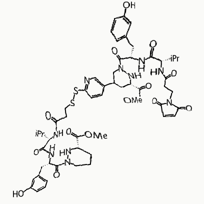 COC(=O)[C@@H]1CCCN(C(=O)[C@H](Cc2cccc(O)c2)NC(=O)[C@@H](NC(=O)CCSSc2ccc(C3C[C@@H](C(=O)OC)NN(C(=O)[C@H](Cc4cccc(O)c4)NC(=O)[C@@H](NC(=O)CCN4C(=O)C=CC4=O)C(C)C)C3)cn2)C(C)C)N1